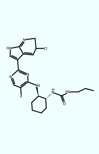 CCCNC(=O)N[C@@H]1CCCC[C@H]1Nc1nc(-c2c[nH]c3c2=CC(Cl)CN=3)ncc1F